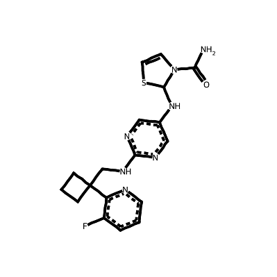 NC(=O)N1C=CSC1Nc1cnc(NCC2(c3ncccc3F)CCC2)nc1